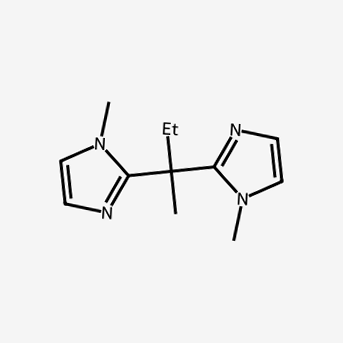 CCC(C)(c1nccn1C)c1nccn1C